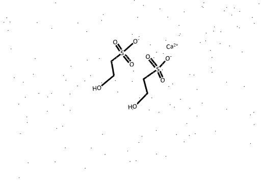 O=S(=O)([O-])CCO.O=S(=O)([O-])CCO.[Ca+2]